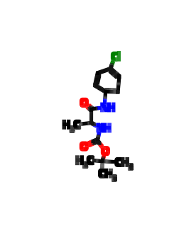 CC(NC(=O)OC(C)(C)C)C(=O)Nc1ccc(Cl)cc1